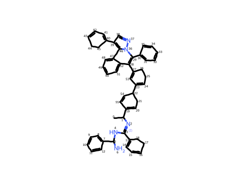 CC(/N=C(\NC(N)c1ccccc1)C1=CC=CCC1)C1=CCC(C2=CCCC(c3c(-c4ccccc4)n4ncc(C5=CC=CCC5)c4c4ccccc34)=C2)C=C1